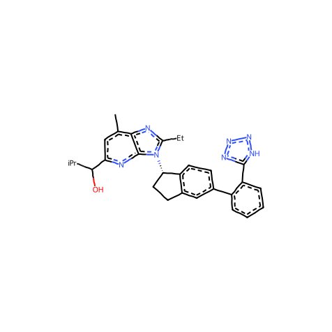 CCc1nc2c(C)cc(C(O)C(C)C)nc2n1[C@H]1CCc2cc(-c3ccccc3-c3nnn[nH]3)ccc21